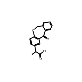 CC(C(=O)Cl)c1ccc2c(c1)C(=O)c1ccccc1CO2